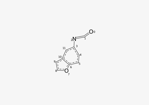 O=C=Nc1ccc2occc2c1